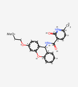 COCCOc1ccc2c(c1)Oc1ccccc1C2NC(=O)c1ccc(C(F)(F)F)[nH]c1=O